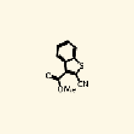 COC(=O)c1c(C#N)sc2ccccc12